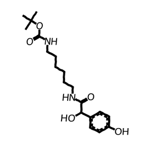 CC(C)(C)OC(=O)NCCCCCCNC(=O)C(O)c1ccc(O)cc1